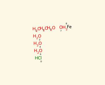 Cl.O.O.O.O.O.O.O.[Fe]